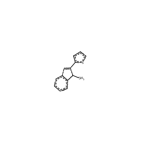 [SiH3]C1C(c2cccs2)=Cc2ccccc21